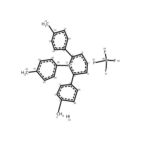 Cc1ccc(-c2cccc(-c3ccc(C)cc3)[n+]2-c2ccc(C)cc2)cc1.F[B-](F)(F)F.I